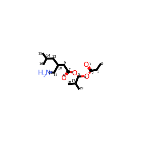 CCC(=O)OC(OC(=O)CC(CN)CC(C)C)C(C)C